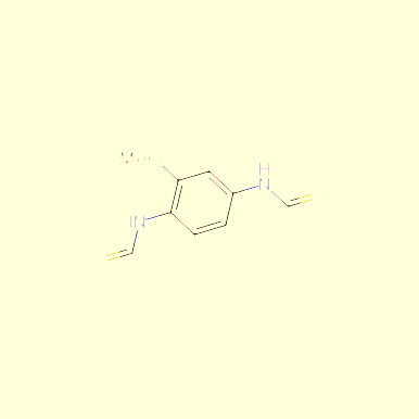 COc1cc(N[C]=S)ccc1N[C]=S